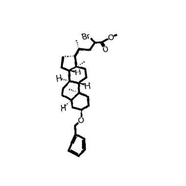 COC(=O)C(Br)C[C@@H](C)[C@H]1CC[C@H]2[C@@H]3CC[C@@H]4C[C@H](OCc5ccccc5)CC[C@]4(C)[C@H]3CC[C@]12C